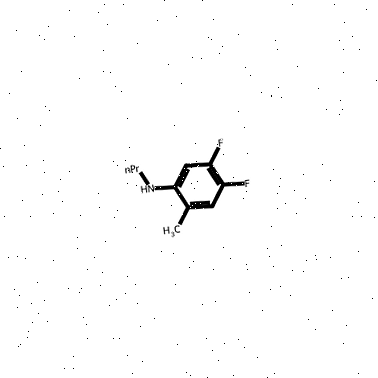 CCCNc1cc(F)c(F)cc1C